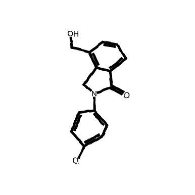 O=C1c2cccc(CO)c2CN1c1ccc(Cl)cc1